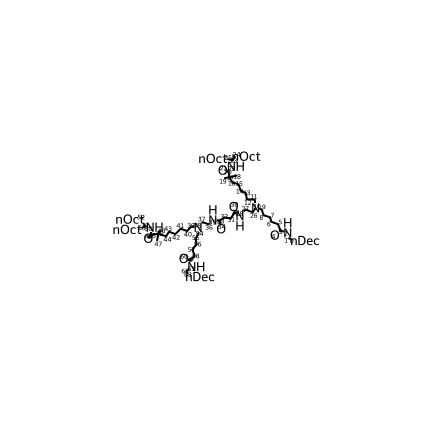 CCCCCCCCCCCNC(=O)CCCCCN(CCCCCCC(C)(C)C(=O)NC(CCCCCCCC)CCCCCCCC)CCNC(=O)CCC(=O)NCCN(CCCCCCC(C)(C)C(=O)NC(CCCCCCCC)CCCCCCCC)CCCCCC(=O)NCCCCCCCCCCC